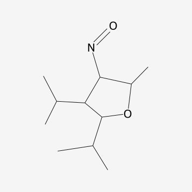 CC(C)C1OC(C)C(N=O)C1C(C)C